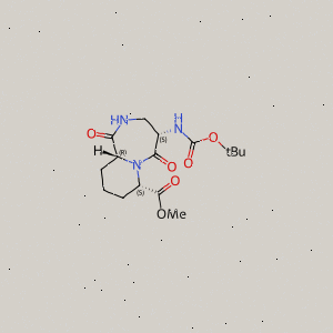 COC(=O)[C@@H]1CCC[C@@H]2C(=O)NC[C@H](NC(=O)OC(C)(C)C)C(=O)N21